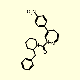 O=C(N1C=C(c2ccc([N+](=O)[O-])cc2)CC=C=N1)N1CCCCC1Cc1ccccc1